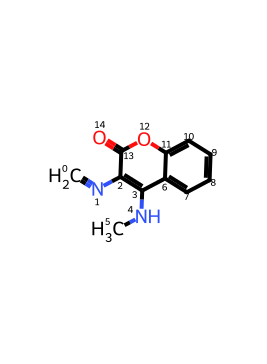 C=Nc1c(NC)c2ccccc2oc1=O